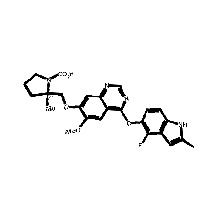 COc1cc2c(Oc3ccc4[nH]c(C)cc4c3F)ncnc2cc1OC[C@]1(C(C)(C)C)CCCN1C(=O)O